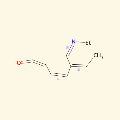 C/C=C(/C=C\C=C=O)\C=N/CC